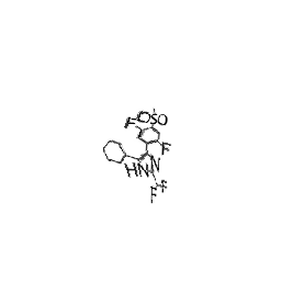 CS(=O)(=O)c1cc(F)c(-c2nc(C(F)F)[nH]c2C2CCCCC2)cc1F